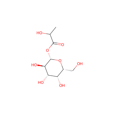 CC(O)C(=O)O[C@@H]1O[C@H](CO)[C@H](O)[C@H](O)[C@H]1O